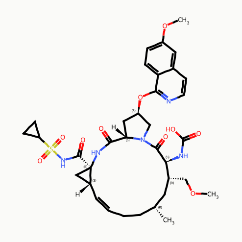 COC[C@@H]1C[C@H](C)CCC=C[C@@H]2C[C@@]2(C(=O)NS(=O)(=O)C2CC2)NC(=O)[C@@H]2C[C@@H](Oc3nccc4cc(OC)ccc34)CN2C(=O)[C@H]1NC(=O)O